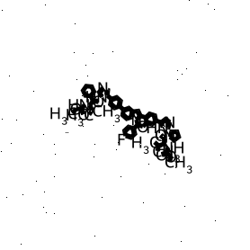 COC(=O)NC(C(=O)C1CCCC[C@@H]1c1ncc(-c2ccc(-c3ccc4c(c3)cc3n4C(c4ccc(F)cc4)Oc4cc(-c5cnc([C@@H]6CCCN6C(=O)[C@@H](NC(=O)OC)C(C)C)[nH]5)ccc4-3)cc2)[nH]1)C(C)C